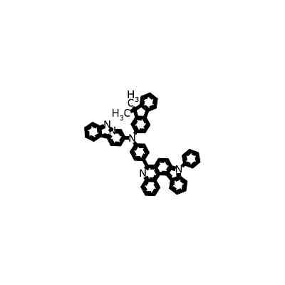 CC1(C)c2ccccc2-c2ccc(N(c3ccc(-c4nc5ccccc5c5c4ccc4c5c5ccccc5n4-c4ccccc4)cc3)c3ccc4c5ccccc5nn4c3)cc21